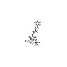 CNC(=O)C(CCNC(=O)OCc1ccccc1)NC(=O)OC(C)(C)C